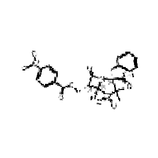 CC1(C)[C@](Cc2ccccc2)(C(=O)O)N2C(=O)[C@@H](COC(=O)c3ccc([N+](=O)[O-])cc3)[C@H]2S1(=O)=O